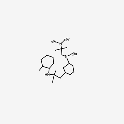 CCCN(CCC)C(C)(C)CN(C1CCCC(CC(C)(C)NC2CCCCC2C)C1)C(C)(C)C